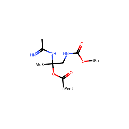 CCCCCC(=O)OC(CNC(=O)OC(C)(C)C)(NC(C)=N)SC